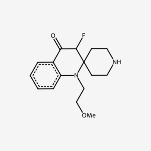 COCCN1c2ccccc2C(=O)C(F)C12CCNCC2